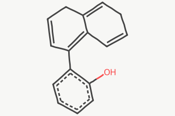 Oc1ccccc1C1=C2C=CCC=C2CC=C1